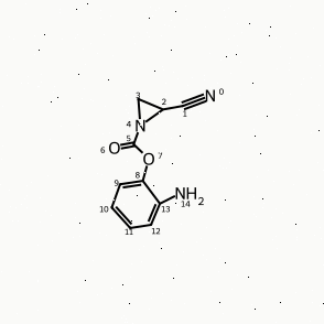 N#CC1CN1C(=O)Oc1ccccc1N